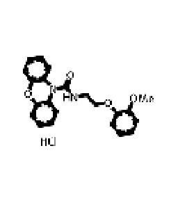 COc1ccccc1OCCNC(=O)N1c2ccccc2Oc2ccccc21.Cl